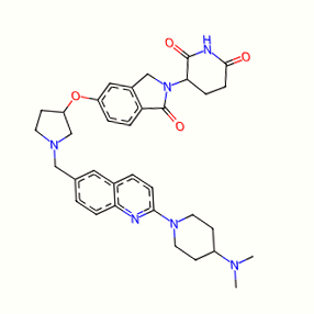 CN(C)C1CCN(c2ccc3cc(CN4CCC(Oc5ccc6c(c5)CN(C5CCC(=O)NC5=O)C6=O)C4)ccc3n2)CC1